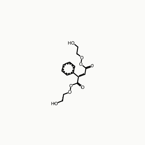 O=C(/C=C(/C(=O)OOCCO)c1ccccc1)OOCCO